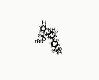 CC(C)S(=O)(=O)c1ccc(-c2cnc(N)c(N(C(=O)OC(C)(C)C)C3CCNC3)n2)cc1